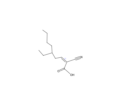 CCCCC(CC)C/C=C(/C#N)C(=O)O